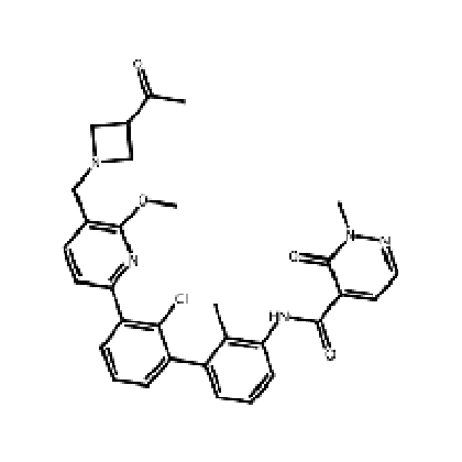 COc1nc(-c2cccc(-c3cccc(NC(=O)c4ccnn(C)c4=O)c3C)c2Cl)ccc1CN1CC(C(C)=O)C1